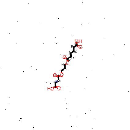 O=C(O)/C=C/C(=O)OCCCOC(=O)CCCCC(=O)O